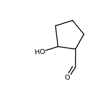 O=CC1CCCC1O